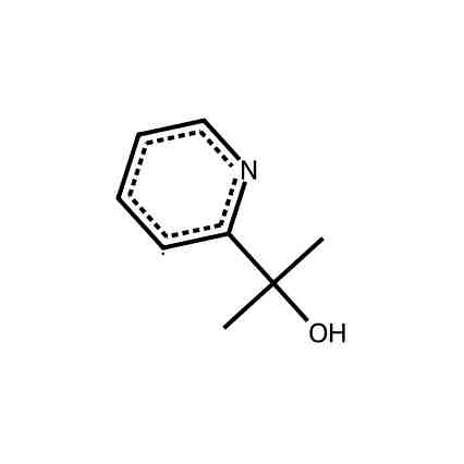 CC(C)(O)c1[c]cccn1